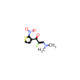 CN(C)/C=C(\F)C(=O)c1ccsc1[N+](=O)[O-]